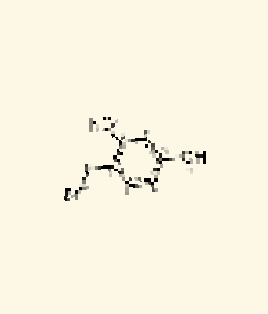 N#Cc1cc(O)ccc1CBr